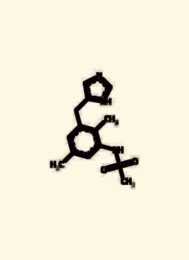 Cc1cc(Cc2cnc[nH]2)c(C)c(NS(C)(=O)=O)c1